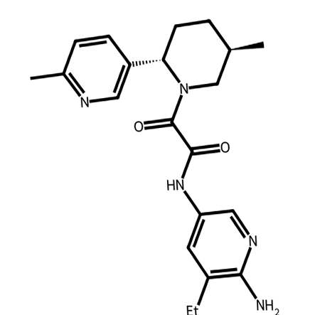 CCc1cc(NC(=O)C(=O)N2C[C@H](C)CC[C@H]2c2ccc(C)nc2)cnc1N